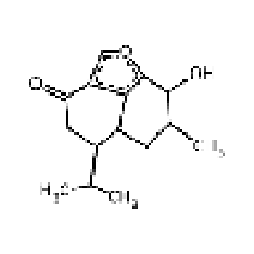 CC(C)C1CC(=O)c2coc3c2C1CC(C)C3O